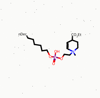 CCCCCCCCCCCCCCCCOP(=O)(O)OCC[N+]1(C)C=CC(C(=O)OCC)CC1